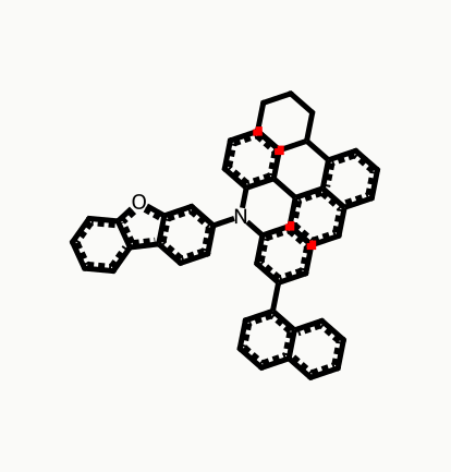 c1cc(-c2cccc3ccccc23)cc(N(c2ccc3c(c2)oc2ccccc23)c2ccccc2-c2cccc3cccc(C4CCCCC4)c23)c1